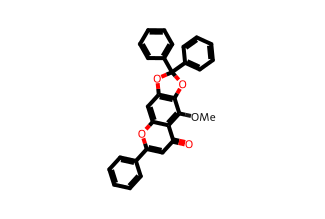 COc1c2c(cc3oc(-c4ccccc4)cc(=O)c13)OC(c1ccccc1)(c1ccccc1)O2